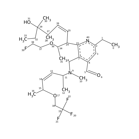 CCc1cc(C=O)c(CN(C)C(C)/C=C\C(C)OCC(F)(F)F)c(C(/C=C\C(C)C(C)(O)CC)C(C)OCCF)n1